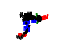 CC1(C)[C@H]2CC[C@]1(c1ccnc(-n3cnc(CCS(C)(=O)=O)n3)n1)c1nnc(-c3c(F)cc(O)cc3F)cc12